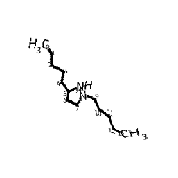 CCCCCC1CCN(CCCCC)N1